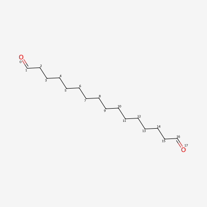 O=CCCCCCCCCCCCCCCC=O